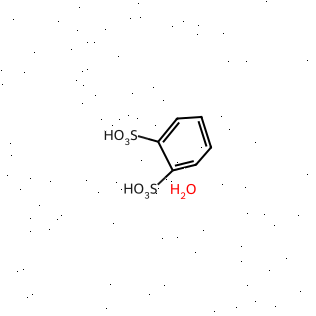 O.O=S(=O)(O)c1ccccc1S(=O)(=O)O